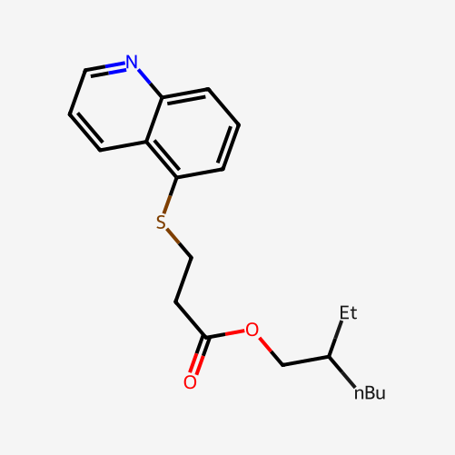 CCCCC(CC)COC(=O)CCSc1cccc2ncccc12